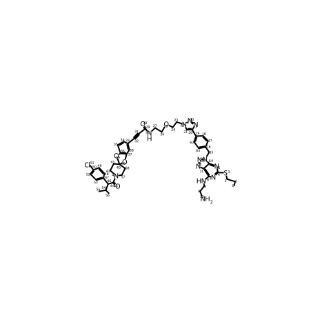 CCCSc1nc(NCCN)c2nnn(Cc3ccc(-c4cn(CCOCCNC(=O)C#Cc5ccc6c(c5)OC5(CCN(C(=O)C(c7ccc(Cl)cc7)C(C)C)CC5)O6)nn4)cc3)c2n1